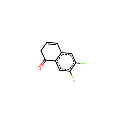 O=C1CC=Cc2cc(F)c(F)cc21